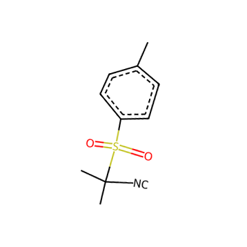 [C-]#[N+]C(C)(C)S(=O)(=O)c1ccc(C)cc1